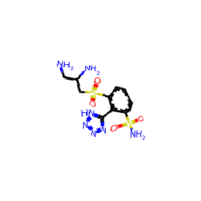 NCC(N)CS(=O)(=O)c1cccc(S(N)(=O)=O)c1-c1nnn[nH]1